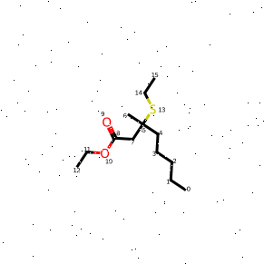 CCCCCC(C)(CC(=O)OCC)SCC